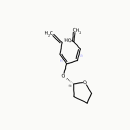 C=C/C=C(\C=C/C(=C)O)O[C@H]1CCCO1